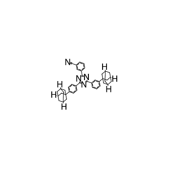 N#Cc1cccc(-c2nc(-c3ccc(C45C[C@H]6C[C@@H](C4)C[C@@H](C5)C6)cc3)nc(-c3cccc(C45C[C@H]6C[C@@H](C4)C[C@@H](C5)C6)c3)n2)c1